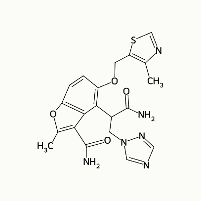 Cc1ncsc1COc1ccc2oc(C)c(C(N)=O)c2c1C(Cn1cncn1)C(N)=O